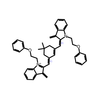 C=C1C(/C=C2C=C(/C=c3\c(=C)c4ccccc4n3CCOc3ccccc3)CC(C)(C)C/2)=[N+](CCOc2ccccc2)c2ccccc21